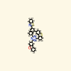 c1ccc(-c2nc(-c3ccc4oc5ccccc5c4c3)nc(-c3cccc4sc5ccc(-c6cccc(-c7nc8ccccc8s7)c6)cc5c34)n2)cc1